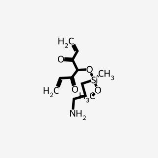 C=CC(=O)C(O[Si](C)(CCCN)OC)C(=O)C=C